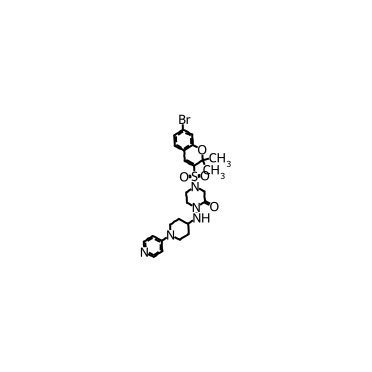 CC1(C)Oc2cc(Br)ccc2C=C1S(=O)(=O)N1CCN(NC2CCN(c3ccncc3)CC2)C(=O)C1